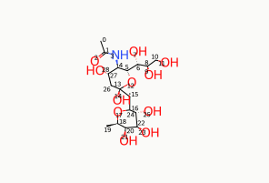 CC(=O)N[C@H]1[C@H]([C@H](O)[C@H](O)CO)O[C@](O)([CH]C2O[C@H](C)[C@H](O)[C@H](O)[C@H]2O)C[C@@H]1O